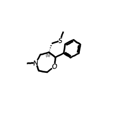 CSC[C@H]1CN(C)CCOC1c1ccccc1